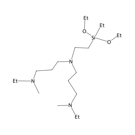 CCO[Si](CC)(CCN(CCCN(C)CC)CCCN(C)CC)OCC